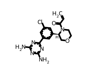 C=CC(=O)N1CCOC[C@H]1c1cc(Cl)cc(-c2nc(N)nc(N)n2)c1